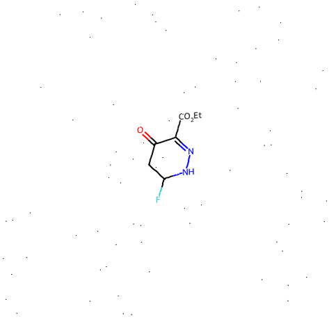 CCOC(=O)C1=NNC(F)CC1=O